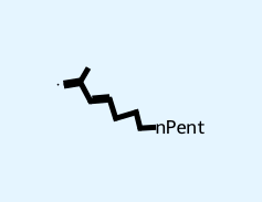 [CH]=C(C)C=CCCCCCCCC